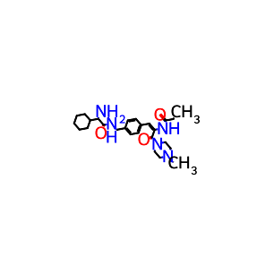 CCC(=O)N/C(=C/c1ccc(CNC(=O)[C@@H](N)C2CCCCC2)cc1)C(=O)N1CCN(C)CC1